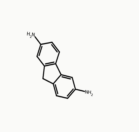 Nc1ccc2c(c1)Cc1ccc(N)cc1-2